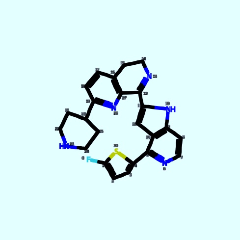 Fc1ccc(-c2nccc3[nH]c(C4=NCCc5ccc(C6CCNCC6)nc54)cc23)s1